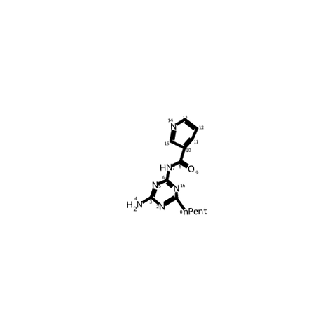 CCCCCc1nc(N)nc(NC(=O)c2cccnc2)n1